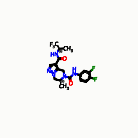 C[C@@H]1Cn2ncc(C(=O)N[C@H](C)C(F)(F)F)c2CN1C(=O)Nc1ccc(F)c(F)c1